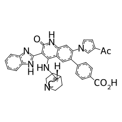 CC(=O)c1ccn(-c2cc3[nH]c(=O)c(-c4nc5ccccc5[nH]4)c(N[C@H]4CN5CCC4CC5)c3cc2-c2ccc(C(=O)O)cc2)c1